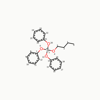 CCCC[O][Ti]([O]c1ccccc1)([O]c1ccccc1)[O]c1ccccc1